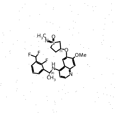 CN=S1(=O)CC[C@H](Oc2cc3c(N[C@H](C)c4cccc(C(F)F)c4F)ccnc3cc2OC)C1